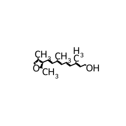 CC(/C=C/c1c(C)coc1C)=C\C=C\C(C)=C\CO